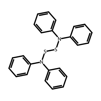 c1ccc(N(SSN(c2ccccc2)c2ccccc2)c2ccccc2)cc1